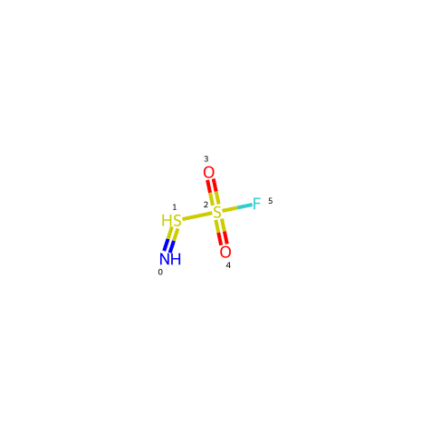 N=[SH]S(=O)(=O)F